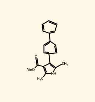 COC(=O)c1c(C)[nH]c(C)c1-c1ccc(-c2ccccc2)cc1